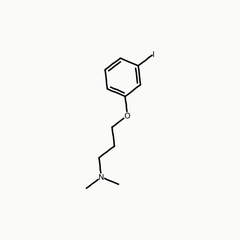 CN(C)CCCOc1cccc(I)c1